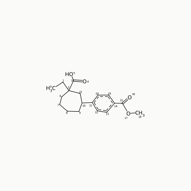 CCC1(C(=O)O)CCCCC(c2ccc(C(=O)OC)cc2)C1